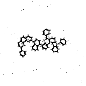 c1ccc(-c2ccc3ccc4ccc(-c5ccc(-c6cccc7c6nc(-c6ccccc6)c6ccc8c(c9ccccc9n8-c8ccccc8)c67)c6ccccc56)nc4c3n2)cc1